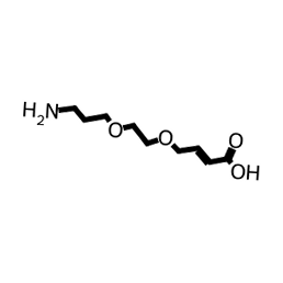 NCCCOCCOC/C=C/C(=O)O